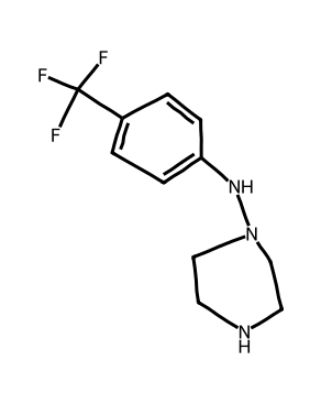 FC(F)(F)c1ccc(NN2CCNCC2)cc1